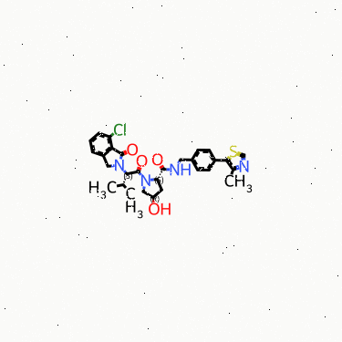 Cc1ncsc1-c1ccc(CNC(=O)[C@@H]2C[C@@H](O)CN2C(=O)[C@H](C(C)C)N2Cc3cccc(Cl)c3C2=O)cc1